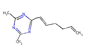 C=CCC/C=C/c1nc(C)nc(C)n1